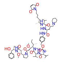 CC[C@H](C)[C@@H]([C@@H](CC(=O)N1CCC[C@H]1[C@H](OC)[C@@H](C)C(=O)N[C@H](C)[C@@H](O)c1ccccc1)OC)N(C)C(=O)[C@@H](NC(=O)[C@H](C(C)C)N(C)C(=O)OCc1ccc(NC(=O)[C@H](CCCN2CCCCC2)NC(=O)[C@@H](N[C@H](C)CCCCCN2C(=O)C=CC2=O)C(C)C)cc1)C(C)C